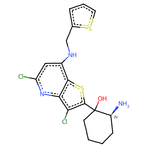 N[C@H]1CCCCC1(O)c1sc2c(NCc3cccs3)cc(Cl)nc2c1Cl